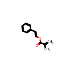 C=C(C)C(=O)OC=Cc1cc[c]cc1